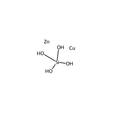 O[Si](O)(O)O.[Cu].[Zn]